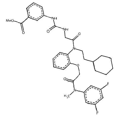 COC(=O)c1cccc(NC(=O)NCC(=O)N(CCC2CCCCC2)c2ccccc2OCC(=O)N(C)c2cc(F)cc(F)c2)c1